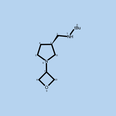 CC(C)(C)NC[C@@H]1CCN(C2COC2)C1